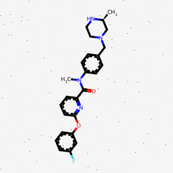 C[C@H]1CN(Cc2ccc(N(C)C(=O)c3cccc(Oc4cccc(F)c4)n3)cc2)CCN1